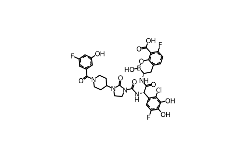 O=C(O)c1c(F)ccc2c1OB(O)[C@@H](NC(=O)[C@@H](NC(=O)N1CCN(C3CCN(C(=O)c4cc(O)cc(F)c4)CC3)C1=O)c1cc(F)c(O)c(O)c1Cl)C2